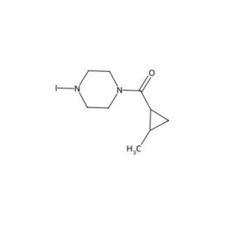 CC1CC1C(=O)N1CCN(I)CC1